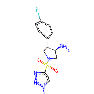 Cn1cc(S(=O)(=O)N2C[C@H](c3ccc(F)cc3)[C@@H](N)C2)nn1